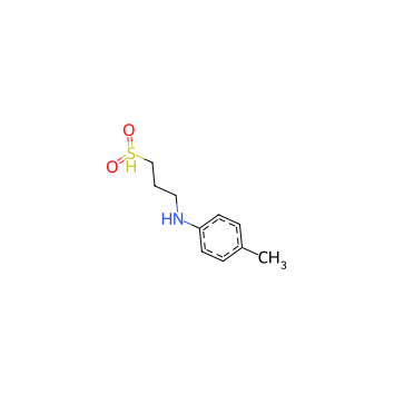 Cc1ccc(NCCC[SH](=O)=O)cc1